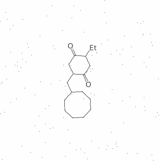 CCC1CC(=O)C(CC2CCCCCCC2)CC1=O